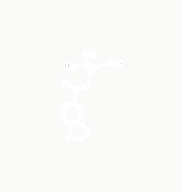 CC1(C)C(C=C(Br)c2ccc3c(c2)OCO3)C1C(=O)O